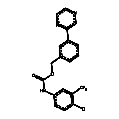 O=C(Nc1ccc(Cl)c(C(F)(F)F)c1)OCc1cccc(-c2cnccn2)c1